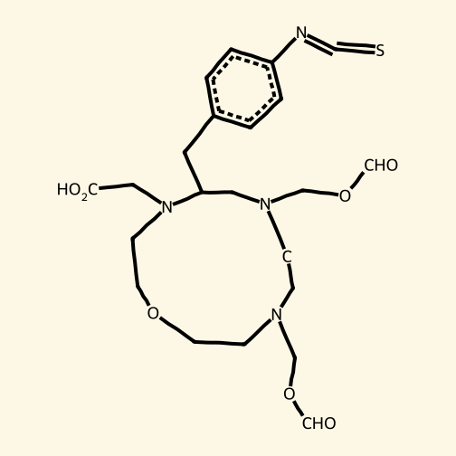 O=COCN1CCOCCN(CC(=O)O)C(Cc2ccc(N=C=S)cc2)CN(COC=O)CC1